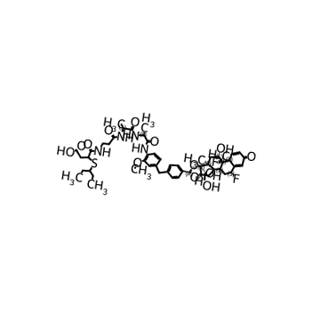 CCC(CC)SC(CC(=O)O)C(=O)NCCC(=O)N[C@@H](C)C(=O)N[C@@H](C)C(=O)Nc1ccc(Cc2ccc([C@@H]3O[C@@H]4CC5[C@@H]6C[C@H](F)C7=CC(=O)C=C[C@]7(C)[C@@]6(F)[C@@H](O)C[C@]5(C)[C@]4(C(=O)CO)O3)cc2)cc1OC